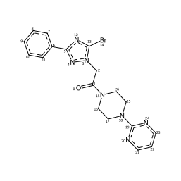 O=C(Cn1nc(-c2ccccc2)nc1Br)N1CCN(c2ncccn2)CC1